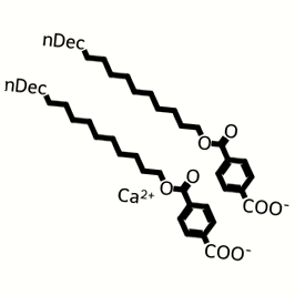 CCCCCCCCCCCCCCCCCCCCOC(=O)c1ccc(C(=O)[O-])cc1.CCCCCCCCCCCCCCCCCCCCOC(=O)c1ccc(C(=O)[O-])cc1.[Ca+2]